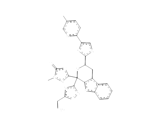 CCn1nc(C2(c3noc(COC)n3)NC(c3nc(-c4ccc(F)cn4)c[nH]3)Cc3c2[nH]c2ccccc32)oc1=O